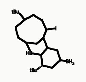 BC1CC2C3CC(BC2[C@@H](C(C)(C)C)C1)CCC(C(C)(C)C)CCC3I